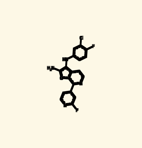 Nc1oc2c(-c3ccnc(F)c3)nccc2c1Nc1ccc(F)c(Cl)c1